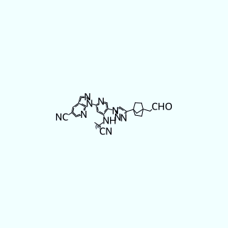 C[C@H](C#N)Nc1cc(-n2ncc3cc(C#N)cnc32)ncc1-n1cc(C23CCC(CC=O)(CC2)C3)nn1